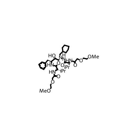 COCCOCC(=O)N[C@H](C(=O)N[C@@H](Cc1ccccc1)[C@@H](O)CN(CC1CCCCC1)NC(=O)[C@@H](NC(=O)COCCOC)C(C)C)C(C)C